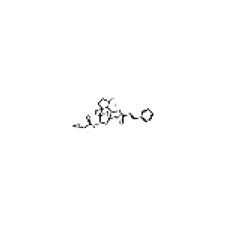 CC(C)[C@@]12C[C@@H](OC(=O)CO)[C@@H](O1)[C@@H]1CC[C@@H](C)[C@H]1[C@@H]2OC(=O)/C=C/c1ccccc1